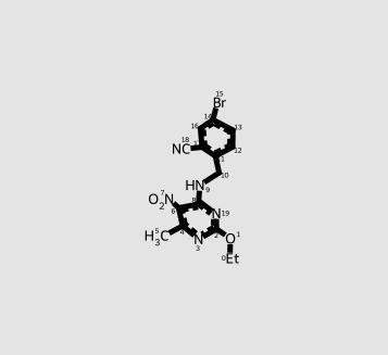 CCOc1nc(C)c([N+](=O)[O-])c(NCc2ccc(Br)cc2C#N)n1